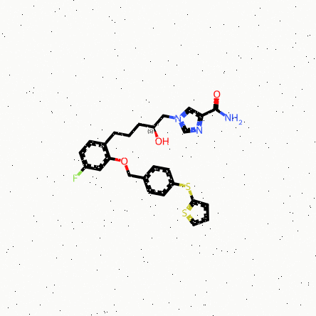 NC(=O)c1cn(C[C@@H](O)CCCc2ccc(F)cc2OCc2ccc(Sc3cccs3)cc2)cn1